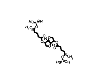 C[C@@H](CCCC(=O)O[C@@H]1CO[C@H]2[C@@H]1OC[C@H]2OC(=O)CCC[C@H](C)ON(O)O)ON(O)O